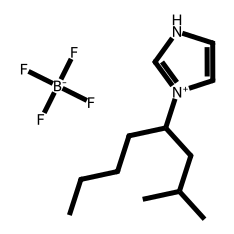 CCCCC(CC(C)C)[n+]1cc[nH]c1.F[B-](F)(F)F